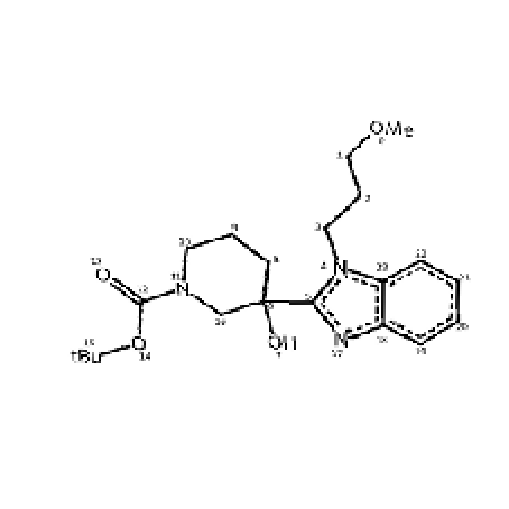 COCCCn1c(C2(O)CCCN(C(=O)OC(C)(C)C)C2)nc2ccccc21